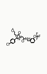 COCCn1c(-c2ccc(Cl)cc2)nn(CC(=O)NCc2cccc(OC(F)(F)F)c2)c1=O